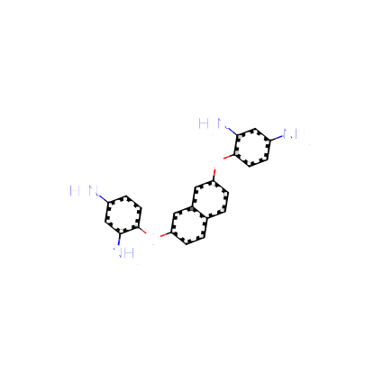 Nc1ccc(Oc2ccc3ccc(Oc4ccc(N)cc4N)cc3c2)c(N)c1